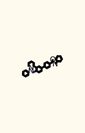 C(=N\c1ccccc1)/c1ccc(-c2ccc(-c3nc4ccccc4o3)cc2)cc1-c1ccccn1